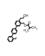 C=C(C)C(=O)OCc1cc(-c2ccc(-c3ccccc3F)cc2)ccc1CCO